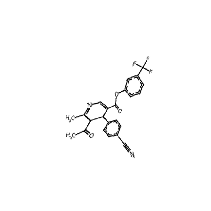 CC(=O)C1C(C)=NC=C(C(=O)Oc2cccc(C(F)(F)F)c2)C1c1ccc(C#N)cc1